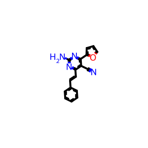 N#Cc1c(C=Cc2ccccc2)nc(N)nc1-c1ccco1